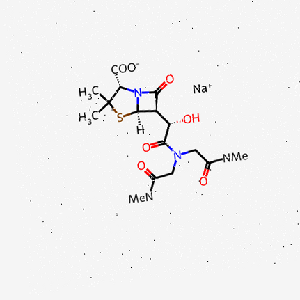 CNC(=O)CN(CC(=O)NC)C(=O)[C@@H](O)[C@@H]1C(=O)N2[C@@H]1SC(C)(C)[C@@H]2C(=O)[O-].[Na+]